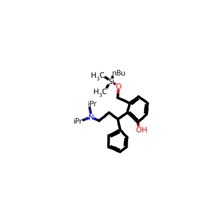 CCCC[Si](C)(C)OCc1cccc(O)c1C(CCN(C(C)C)C(C)C)c1ccccc1